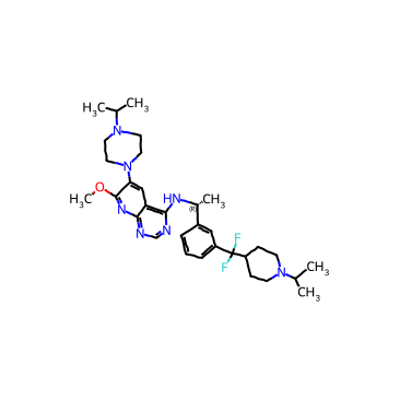 COc1nc2ncnc(N[C@H](C)c3cccc(C(F)(F)C4CCN(C(C)C)CC4)c3)c2cc1N1CCN(C(C)C)CC1